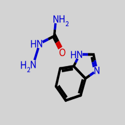 NNC(N)=O.c1ccc2[nH]cnc2c1